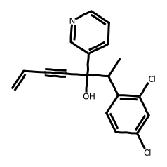 C=CC#CC(O)(c1cccnc1)C(C)c1ccc(Cl)cc1Cl